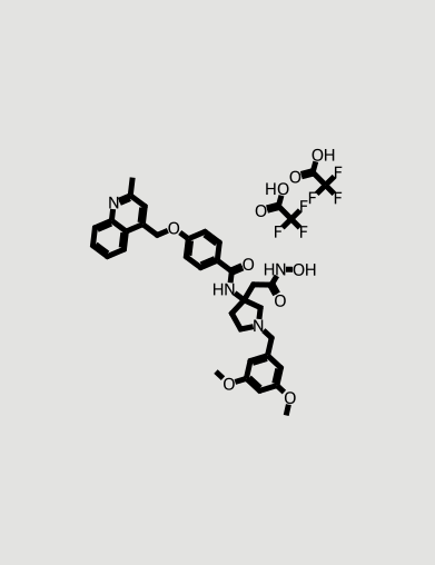 COc1cc(CN2CCC(CC(=O)NO)(NC(=O)c3ccc(OCc4cc(C)nc5ccccc45)cc3)C2)cc(OC)c1.O=C(O)C(F)(F)F.O=C(O)C(F)(F)F